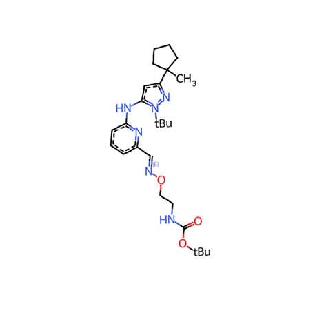 CC(C)(C)OC(=O)NCCO/N=C/c1cccc(Nc2cc(C3(C)CCCC3)nn2C(C)(C)C)n1